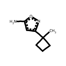 CC1(c2cc(N)on2)CCC1